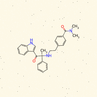 CN(C)C(=O)c1ccc(CCNC(C)(C(=O)c2c[nH]c3ccccc23)c2ccccc2)cc1